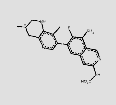 Cc1c(-c2cc3cc(NC(=O)O)ncc3c(N)c2F)cnc2c1NC[C@H](C)C2